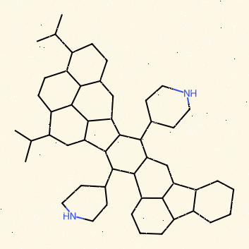 CC(C)C1CCC2CC3C4C(CC(C(C)C)C5CCC1C2C54)C1C(C2CCNCC2)C2C4CCCC5C6CCCCC6C(CC2C(C2CCNCC2)C31)C54